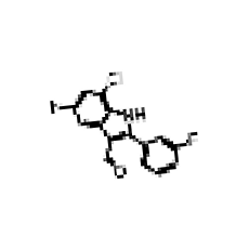 O=Cc1c(-c2cccc(F)c2)[nH]c2c(Cl)cc(F)cc12